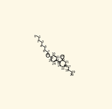 CCCCCCCCOc1ccc([C@@H]2CC[C@@H](CCCC)CC2=O)cc1